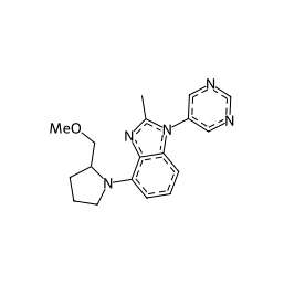 COCC1CCCN1c1cccc2c1nc(C)n2-c1cncnc1